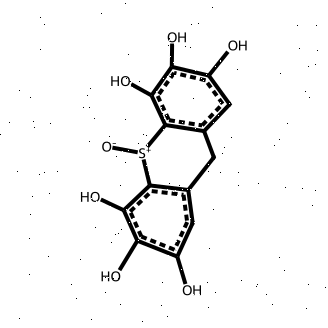 [O-][S+]1c2c(cc(O)c(O)c2O)Cc2cc(O)c(O)c(O)c21